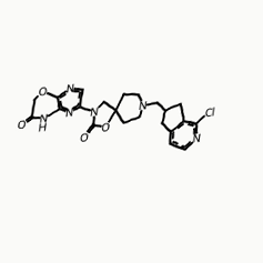 O=C1COc2ncc(N3CC4(CCN(CC5Cc6ccnc(Cl)c6C5)CC4)OC3=O)nc2N1